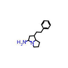 NC1CC(CCc2ccccc2)C2CCCN12